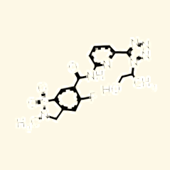 CC(CO)n1nnnc1-c1cccc(NC(=O)c2cc3c(cc2F)CN(C)S3(=O)=O)n1